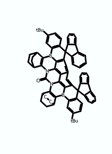 CC(C)(C)c1ccc2c(c1)B1C3=C(C4CCC3CC4)N3C(=O)N4C5=C(B6c7cc(C(C)(C)C)ccc7C7(c8ccccc8-c8ccccc87)c7cc8cc(c1c3c8c4c76)C21c2ccccc2-c2ccccc21)C1CCC5CC1